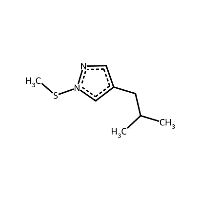 CSn1cc(CC(C)C)cn1